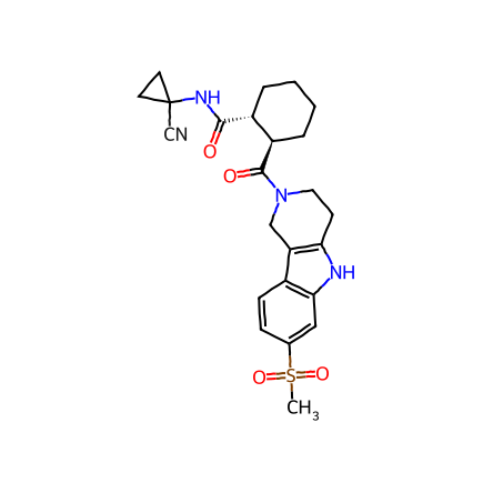 CS(=O)(=O)c1ccc2c3c([nH]c2c1)CCN(C(=O)[C@@H]1CCCC[C@H]1C(=O)NC1(C#N)CC1)C3